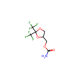 NC(=O)OCC1COC(C(F)(F)F)(C(F)(F)F)O1